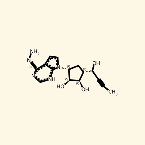 CC#CC(O)[C@H]1C[C@@H](n2ccc3/c(=N\N)nc[nH]c32)[C@H](O)[C@@H]1O